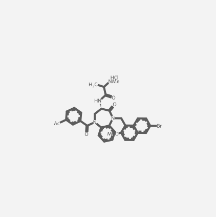 CNC(C)C(=O)N[C@H]1CN(C(=O)c2cccc(C(C)=O)c2)c2ccccc2N(Cc2c(OC)ccc3cc(Br)ccc23)C1=O.Cl